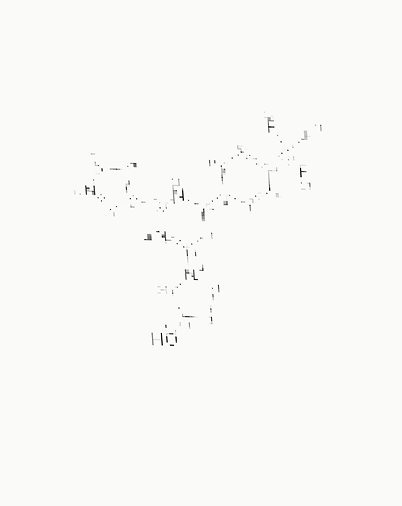 O[C@H]1CCN(c2cc(-c3ccc(C(F)(F)F)cc3)nc(-c3cnsc3)n2)C1